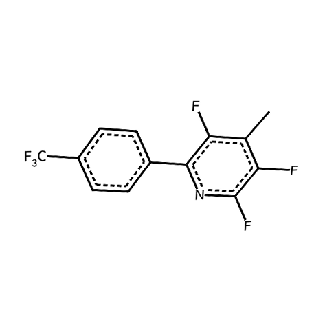 Cc1c(F)c(F)nc(-c2ccc(C(F)(F)F)cc2)c1F